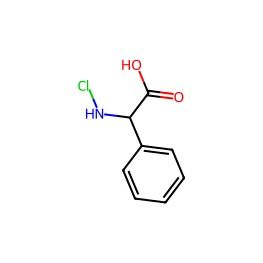 O=C(O)C(NCl)c1ccccc1